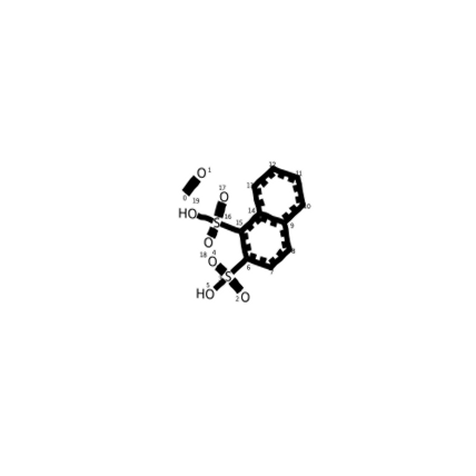 C=O.O=S(=O)(O)c1ccc2ccccc2c1S(=O)(=O)O